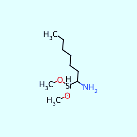 CCCCCCC(N)[SiH](OC)OC